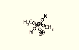 Cc1ccc(-n2c(-c3ccc(C#N)cc3)c(-c3ccc([N+](=O)[O-])cc3)c3c2cc(-c2ccc(C#N)cc2)n3-c2ccc(C)cc2)cc1